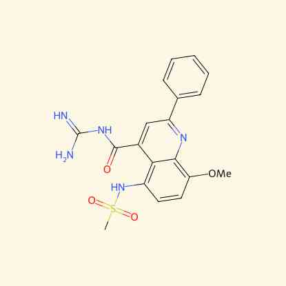 COc1ccc(NS(C)(=O)=O)c2c(C(=O)NC(=N)N)cc(-c3ccccc3)nc12